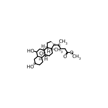 COC(=O)CC[C@@H](C)[C@H]1CC[C@H]2[C@@H]3CC(O)C4C[C@@H](O)CC[C@]4(C)[C@H]3CC[C@]12C